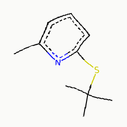 Cc1cccc(SC(C)(C)C)n1